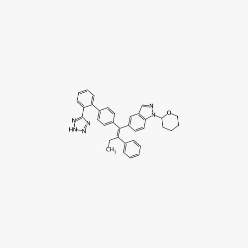 CCC(=C(c1ccc(-c2ccccc2-c2nn[nH]n2)cc1)c1ccc2c(cnn2C2CCCCO2)c1)c1ccccc1